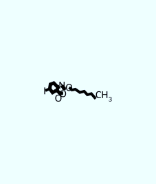 CCCCCCCCOc1nc2ccc(I)cc2c(=O)o1